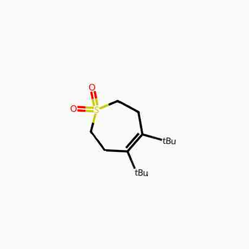 CC(C)(C)C1=C(C(C)(C)C)CCS(=O)(=O)CC1